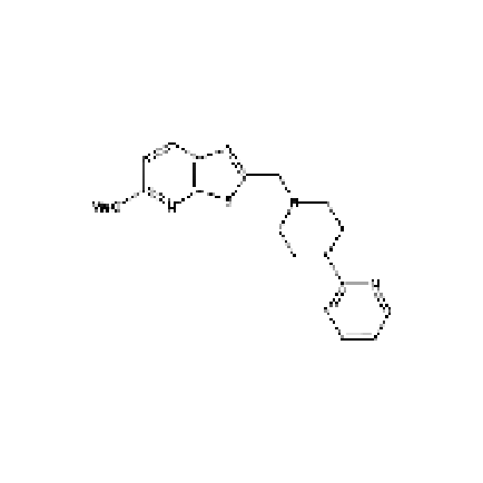 COc1ccc2nc(CN3CCN(c4ncccn4)CC3)sc2n1